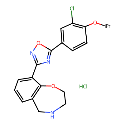 CC(C)Oc1ccc(-c2nc(-c3cccc4c3OCCNC4)no2)cc1Cl.Cl